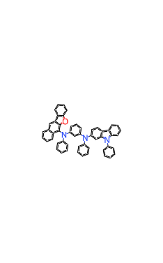 c1ccc(N(c2cccc(N(c3ccccc3)c3c4ccccc4cc4c3oc3ccccc34)c2)c2ccc3c4ccccc4n(-c4ccccc4)c3c2)cc1